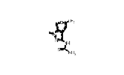 Cn1nc(NC(N)=S)c2cc(C(F)(F)F)ccc21